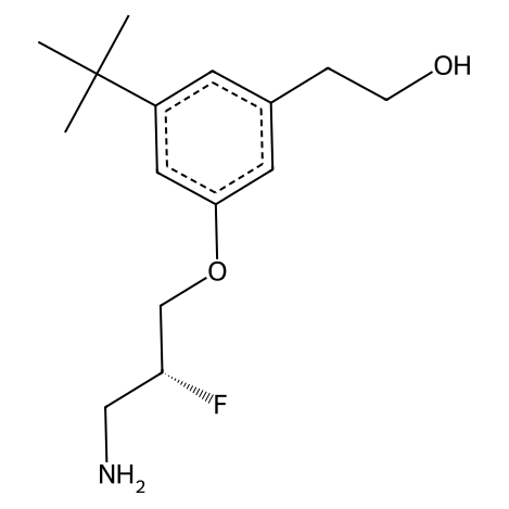 CC(C)(C)c1cc(CCO)cc(OC[C@H](F)CN)c1